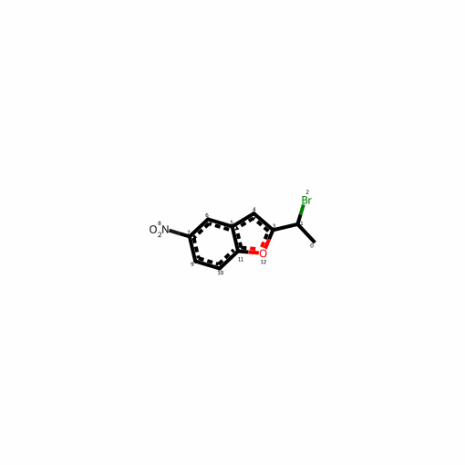 CC(Br)c1cc2cc([N+](=O)[O-])ccc2o1